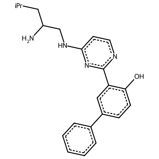 CC(C)CC(N)CNc1ccnc(-c2cc(-c3ccccc3)ccc2O)n1